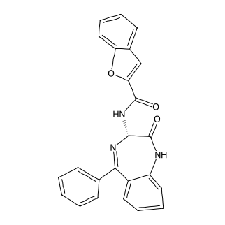 O=C(N[C@H]1N=C(c2ccccc2)c2ccccc2NC1=O)c1cc2ccccc2o1